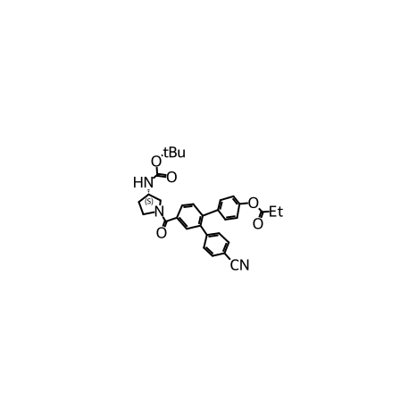 CCC(=O)Oc1ccc(-c2ccc(C(=O)N3CC[C@H](NC(=O)OC(C)(C)C)C3)cc2-c2ccc(C#N)cc2)cc1